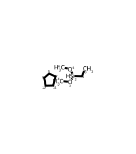 CC[SiH](OC)OC.[CH]1CCCC1